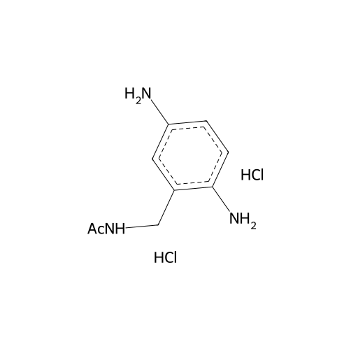 CC(=O)NCc1cc(N)ccc1N.Cl.Cl